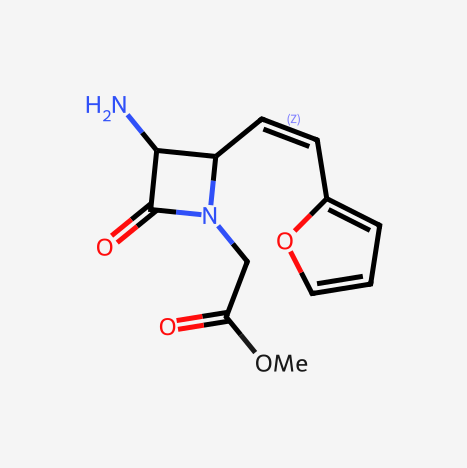 COC(=O)CN1C(=O)C(N)C1/C=C\c1ccco1